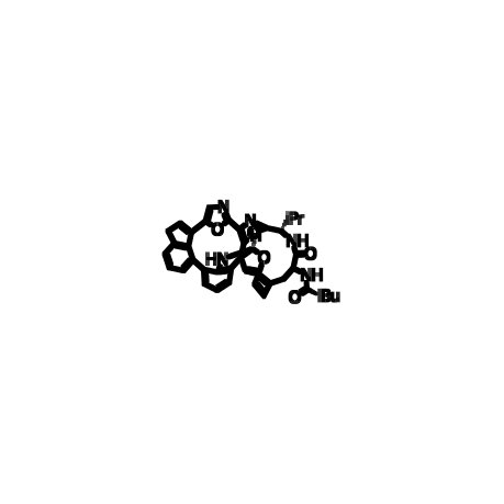 CC[C@H](C)C(=O)NC1Cc2ccc3c(c2)C24c5cccc(c5N[C@H]2O3)-c2cccc3c2C(=CC3)c2cnc(o2)-c2nc(oc24)[C@H](C(C)C)NC1=O